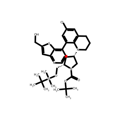 CC(C)(C)OC(=O)N1C[C@@H](N2CCCc3cc(Cl)cc(-c4ccnc5cc(CO)sc45)c32)C[C@H]1CO[Si](C)(C)C(C)(C)C